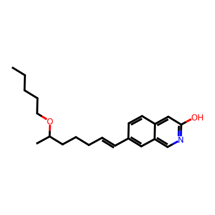 CCCCCOC(C)CCC/C=C/c1ccc2cc(O)ncc2c1